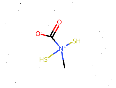 C[N+](S)(S)C(=O)[O-]